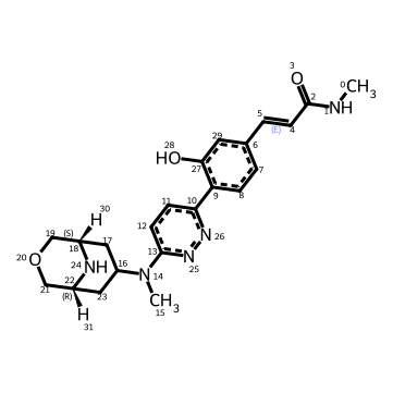 CNC(=O)/C=C/c1ccc(-c2ccc(N(C)C3C[C@H]4COC[C@@H](C3)N4)nn2)c(O)c1